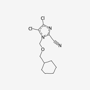 N#Cc1nc(Cl)c(Cl)n1COCC1CCCCC1